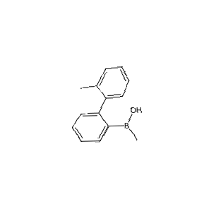 CB(O)c1ccccc1-c1ccccc1C